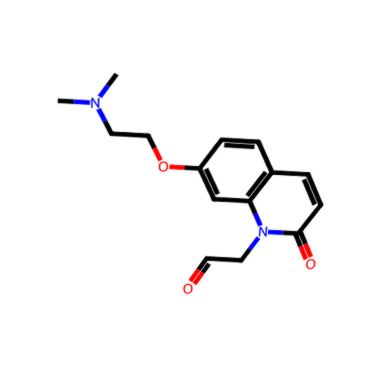 CN(C)CCOc1ccc2ccc(=O)n(CC=O)c2c1